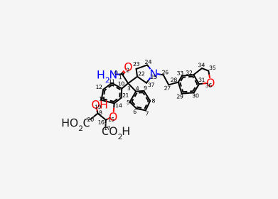 NC(=O)C(c1ccccc1)(c1cccc(OC(C(=O)O)C(O)C(=O)O)c1)C1CCN(CCc2ccc3c(c2)CCO3)C1